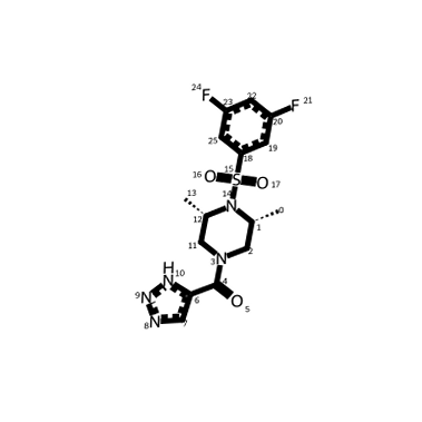 C[C@@H]1CN(C(=O)c2cnn[nH]2)C[C@H](C)N1S(=O)(=O)c1cc(F)cc(F)c1